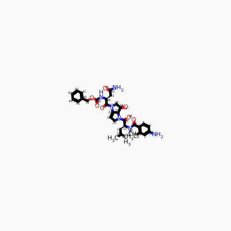 Cc1cc(N)ccc1C(=O)N(C)[C@@H](CC(C)C)C(=O)N1CC=C2C1C(=O)CN2C(=O)[C@H](CC(N)=O)NC(=O)OCc1ccccc1